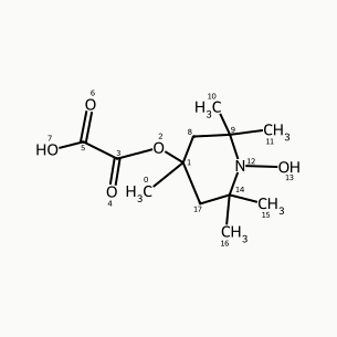 CC1(OC(=O)C(=O)O)CC(C)(C)N(O)C(C)(C)C1